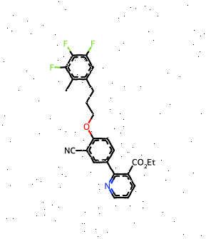 CCOC(=O)c1cccnc1-c1ccc(OCCCc2cc(F)c(F)c(F)c2C)c(C#N)c1